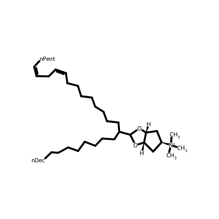 CCCCC/C=C\C/C=C\CCCCCCCCC(CCCCCCCCCCCCCCCCCC)C1O[C@H]2C[C@H]([N+](C)(C)C)C[C@H]2O1